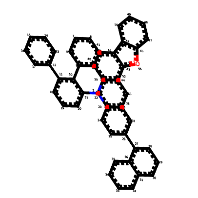 c1ccc(-c2ccccc2-c2c(-c3ccccc3)cccc2N(c2ccc(-c3cccc4ccccc34)cc2)c2ccc3c(c2)oc2ccccc23)cc1